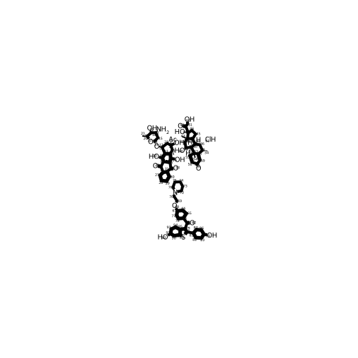 CC(=O)[C@]1(O)Cc2c(O)c3c(c(O)c2[C@@H](O[C@H]2C[C@H](N)[C@H](O)[C@H](C)O2)C1)C(=O)c1ccccc1C3=O.C[C@H]1C[C@@H]2[C@H]([C@@H](O)C[C@@]3(C)[C@H]2CC[C@]3(O)C(=O)CO)[C@@]2(C)C=CC(=O)C=C12.Cl.O=C(c1ccc(OCCN2CCCCC2)cc1)c1c(-c2ccc(O)cc2)sc2cc(O)ccc12